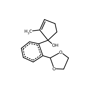 CC1=CCCC1(O)c1ccccc1C1OCCO1